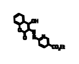 CCOC(=O)c1ccc(N=Nc2c(O)c3ccccc3oc2=O)nc1